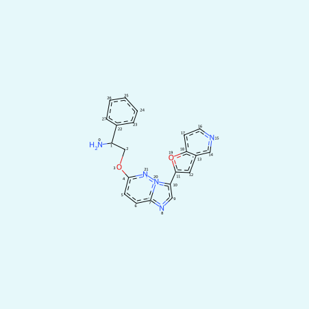 NC(COc1ccc2ncc(-c3cc4cnccc4o3)n2n1)c1ccccc1